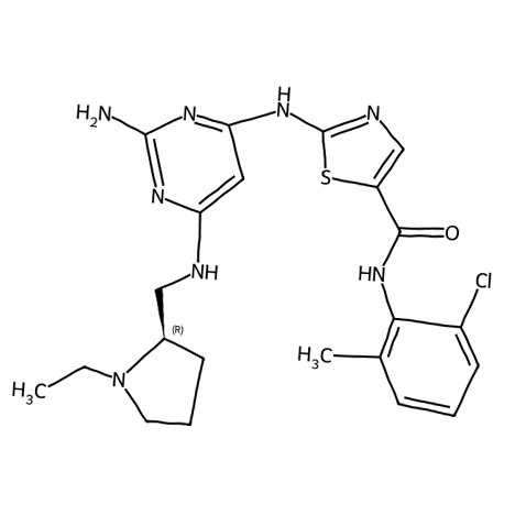 CCN1CCC[C@@H]1CNc1cc(Nc2ncc(C(=O)Nc3c(C)cccc3Cl)s2)nc(N)n1